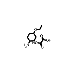 CCOC1CCC(N)CC1.O=C(O)C(=O)O